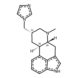 CN1C[C@@H](Cn2ccnc2)C[C@@H]2c3cccc4[nH]cc(c34)C[C@H]21